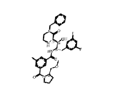 COC[C@H]1CCCN1C(=O)c1cc(C)cc(C(=O)N[C@@H](Cc2cc(F)cc(F)c2)[C@H](O)[C@@H]2NCCN(Cc3ccccc3)C2=O)c1